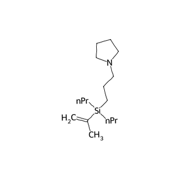 C=C(C)[Si](CCC)(CCC)CCCN1CCCC1